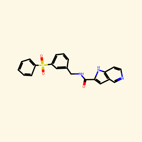 O=C(NCc1cccc(S(=O)(=O)c2ccccc2)c1)c1cc2cnccc2[nH]1